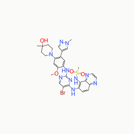 COc1cc(N2CCC(C)(O)CC2)c(-c2cnn(C)c2)cc1Nc1ncc(Br)c(Nc2ccc3nccnc3c2NS(C)(=O)=O)n1